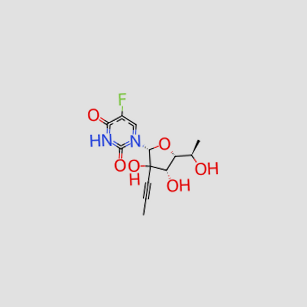 CC#CC1(O)[C@@H](O)[C@@H]([C@@H](C)O)O[C@H]1n1cc(F)c(=O)[nH]c1=O